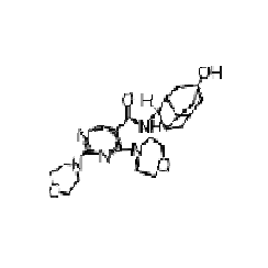 O=C(N[C@H]1C2CC3CC1C[C@@](O)(C3)C2)c1cnc(N2CCOCC2)nc1N1CCOCC1